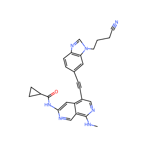 CNc1ncc(C#Cc2ccc3ncn(CCCC#N)c3c2)c2cc(NC(=O)C3CC3)ncc12